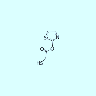 O=C(CS)Oc1nccs1